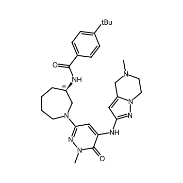 CN1CCn2nc(Nc3cc(N4CCCC[C@@H](NC(=O)c5ccc(C(C)(C)C)cc5)C4)nn(C)c3=O)cc2C1